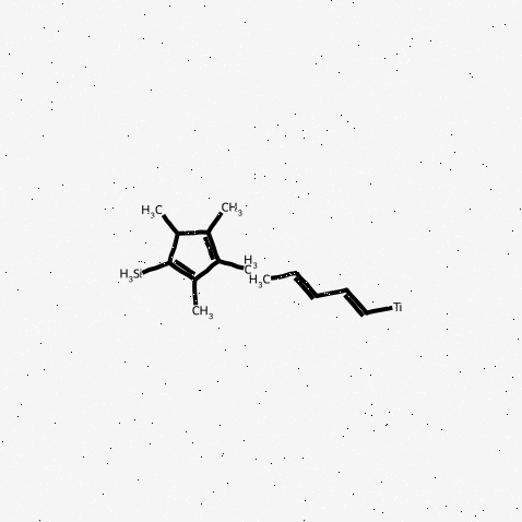 CC1=C(C)C(C)C([SiH3])=C1C.CC=CC=[CH][Ti]